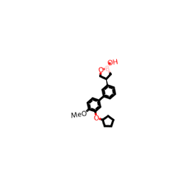 COc1ccc(-c2cccc([C@H]3COB(O)C3)c2)cc1OC1CCCC1